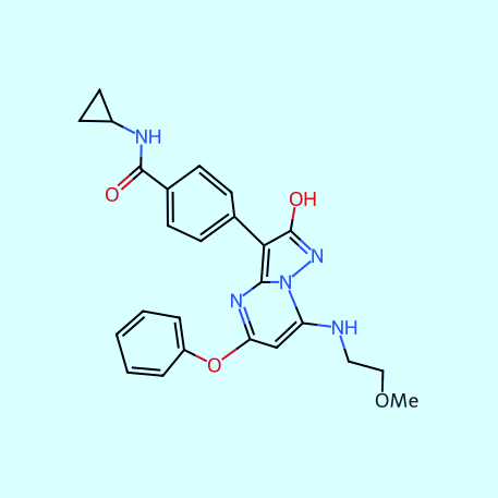 COCCNc1cc(Oc2ccccc2)nc2c(-c3ccc(C(=O)NC4CC4)cc3)c(O)nn12